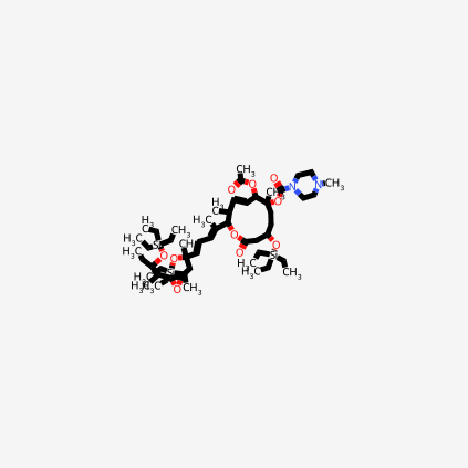 CCC(O[Si](CC)(CC)CC)C(C)C1OC1CC(C)(/C=C/C=C(\C)C1OC(=O)CC(O[Si](CC)(CC)CC)CCC(C)(OC(=O)N2CCN(C)CC2)C(OC(C)=O)/C=C/C1C)O[Si](CC)(CC)CC